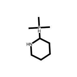 C[PH](C)(C)C1CCCCN1